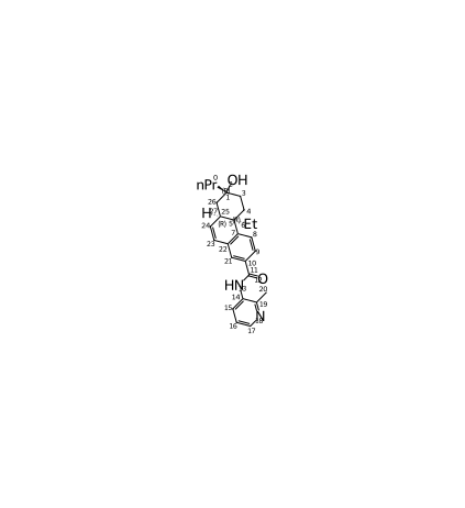 CCC[C@@]1(O)CC[C@@]2(CC)c3ccc(C(=O)Nc4cccnc4C)cc3C=C[C@H]2C1